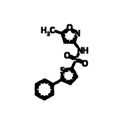 Cc1cc(NS(=O)(=O)c2ccc(-c3ccccc3)s2)no1